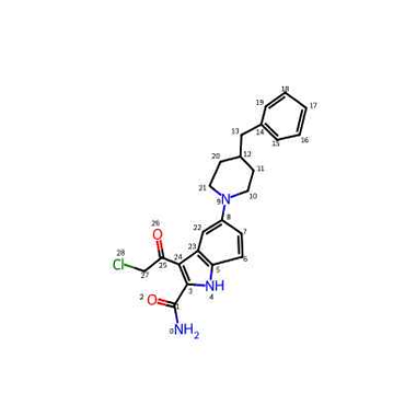 NC(=O)c1[nH]c2ccc(N3CCC(Cc4ccccc4)CC3)cc2c1C(=O)CCl